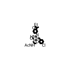 CCc1oc2ccc(/N=c3\[nH]c(=O)n(C[C@@H](C)NC(C)=O)c(=O)n3Cc3ccc(Cl)cc3)cc2c1C